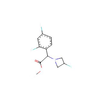 BOC(=O)C(c1ccc(F)cc1F)N1CC(F)C1